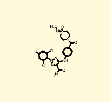 CN=S1(=O)CCN(C(=O)c2ccc(Nc3nn(-c4c(Cl)cc(F)cc4Cl)nc3C(N)=O)cc2)CC1